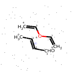 C/C=C/C=O.C=COC=C